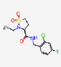 CC(C)CN1C(C(=O)NCc2ccc(F)cc2Cl)CCS1(=O)=O